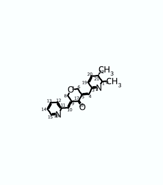 CC1N=C(/C=C2\COC/C(=C\c3ccccn3)C2=O)C=C[C@H]1C